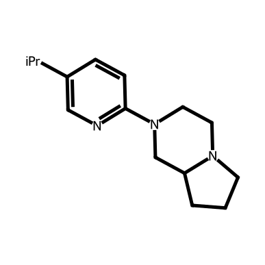 CC(C)c1ccc(N2CCN3CCCC3C2)nc1